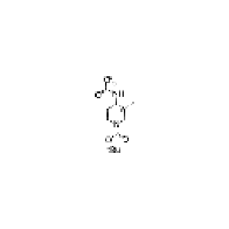 C[C@@H]1CN(C(=O)OC(C)(C)C)CCC1NC(=O)C(F)(F)F